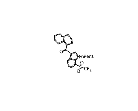 CCCCCn1cc(C(=O)c2cccc3ccccc23)c2cccc(S(=O)(=O)C(F)(F)F)c21